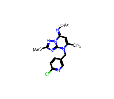 CSc1nc2n(Cc3ccc(Cl)nc3)c(C)c/c(=N\OC(C)=O)n2n1